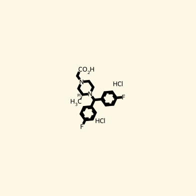 C[C@@H]1CN(CC(=O)O)CCN1C(c1ccc(F)cc1)c1ccc(F)cc1.Cl.Cl